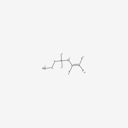 CC(C)(CCS)OC(F)=C(F)F